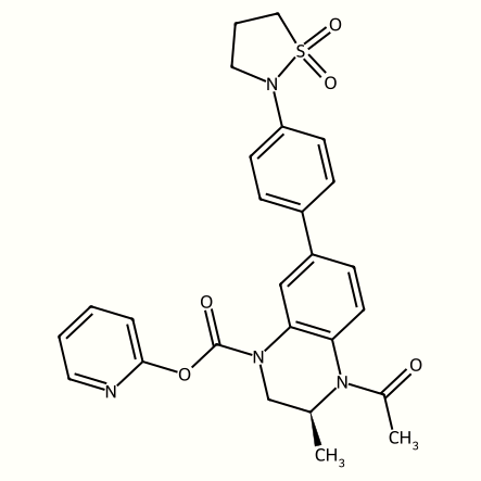 CC(=O)N1c2ccc(-c3ccc(N4CCCS4(=O)=O)cc3)cc2N(C(=O)Oc2ccccn2)C[C@@H]1C